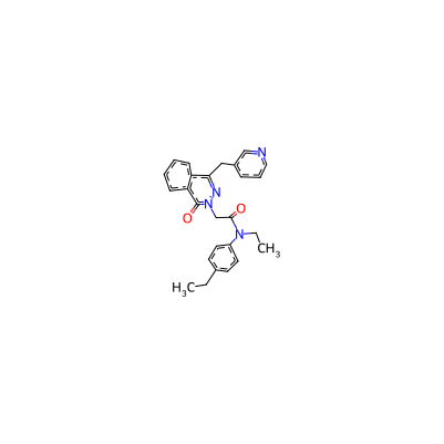 CCc1ccc(N(CC)C(=O)Cn2nc(Cc3cccnc3)c3ccccc3c2=O)cc1